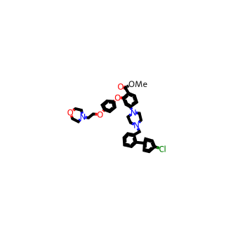 COC(=O)c1ccc(N2CCN(Cc3ccccc3-c3ccc(Cl)cc3)CC2)cc1Oc1ccc(OCCN2CCOCC2)cc1